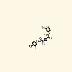 CCc1nccc(CNC(=O)C23CC(NC(=O)COc4ccc(Cl)c(F)c4)(C2)C3)n1